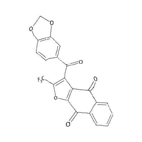 O=C1c2ccccc2C(=O)c2c1oc(C(F)(F)F)c2C(=O)c1ccc2c(c1)OCO2